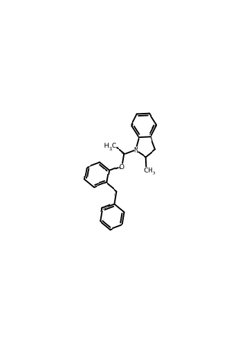 CC1Cc2ccccc2N1C(C)Oc1ccccc1Cc1ccccc1